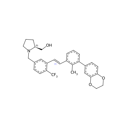 Cc1c(/C=C/c2cc(CN3CCC[C@H]3CO)ccc2C(F)(F)F)cccc1-c1ccc2c(c1)OCCO2